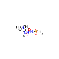 CN(C)[C@]1(c2ccccc2)CC[C@@]2(CC1)CN(CC(=O)N1CCC(S(C)(=O)=O)CC1)C(=O)N2CC1CC1